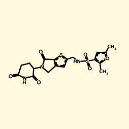 Cc1cc(S(=O)(=O)NCc2cc3c(s2)C(=O)N(C2CCC(=O)NC2=O)C3)c(C)o1